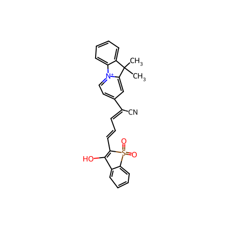 CC1(C)c2ccccc2-[n+]2ccc(/C(C#N)=C/C=C/C3=C(O)c4ccccc4S3(=O)=O)cc21